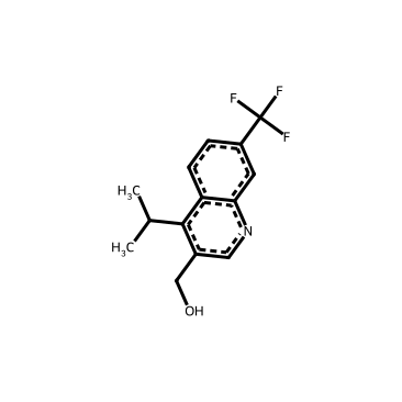 CC(C)c1c(CO)cnc2cc(C(F)(F)F)ccc12